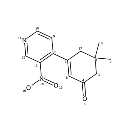 CC1(C)CC(=O)C=C(c2ccncc2[N+](=O)[O-])C1